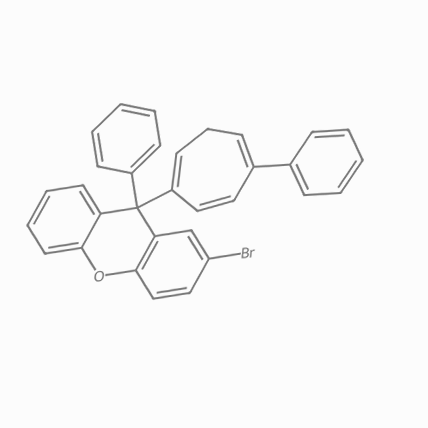 Brc1ccc2c(c1)C(C1=CCC=C(c3ccccc3)C=C1)(c1ccccc1)c1ccccc1O2